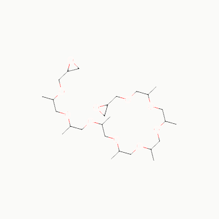 CC(COCC1CO1)OCC(C)OCC(C)OCC(C)OCC(C)OCC(C)OCC(C)OCC1CO1